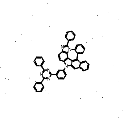 c1ccc(-c2nc(-c3ccccc3)nc(-c3cccc(-n4c5cc6ccccc6c6c7ccccc7n7c(-c8ccccc8)nc8ccc4c(c65)c87)c3)n2)cc1